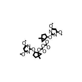 COc1cc(OC)nc(OC2CCC3(C)CC23OC(=O)OC(=O)OC23CC2(C)CCC3Oc2nc(OC)cc(OC)n2)n1